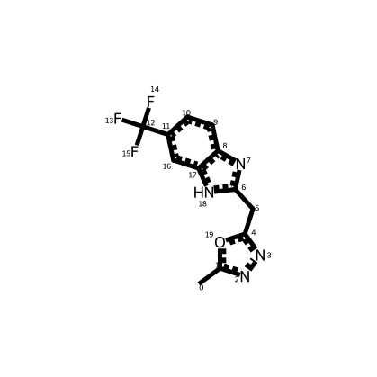 Cc1nnc(Cc2nc3ccc(C(F)(F)F)cc3[nH]2)o1